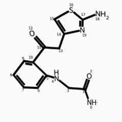 [NH]C(=O)CNc1ccccc1C(=O)Cc1csc(N)n1